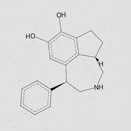 Oc1cc2c3c(c1O)CC[C@@H]3CNC[C@H]2c1ccccc1